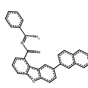 N=C(/N=C(\N)c1ccccc1)c1cccc2oc3ccc(-c4ccc5ccccc5c4)cc3c12